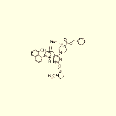 Cc1cccc2cccc(N3C[C@@H]4Cc5c(nc(OC[C@@H]6CCCN6C)nc5N5CCN(C(=O)OCc6ccccc6)[C@@H](CC#N)C5)[C@H]3C4)c12